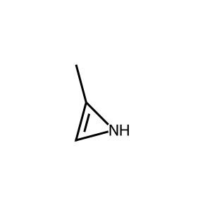 CC1=CN1